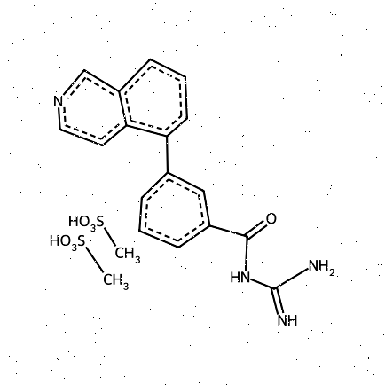 CS(=O)(=O)O.CS(=O)(=O)O.N=C(N)NC(=O)c1cccc(-c2cccc3cnccc23)c1